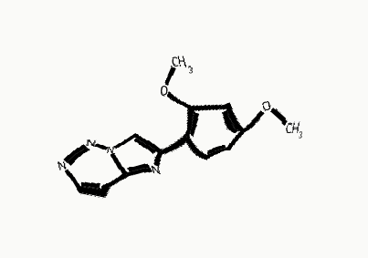 COc1ccc(-c2cn3nnccc3n2)c(OC)c1